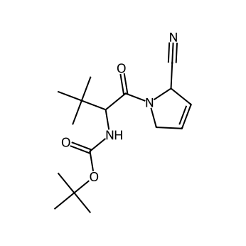 CC(C)(C)OC(=O)NC(C(=O)N1CC=CC1C#N)C(C)(C)C